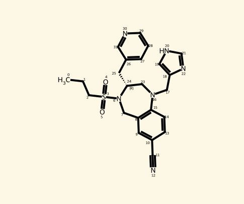 CCCS(=O)(=O)N1Cc2cc(C#N)ccc2N(Cc2c[nH]cn2)C[C@H]1Cc1cccnc1